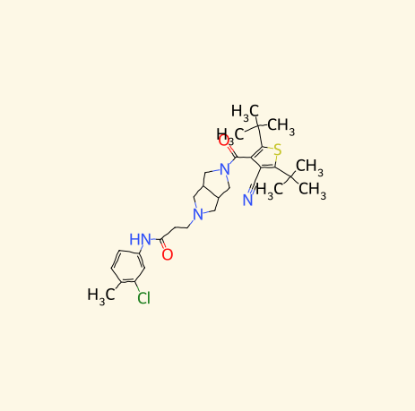 Cc1ccc(NC(=O)CCN2CC3CN(C(=O)c4c(C(C)(C)C)sc(C(C)(C)C)c4C#N)CC3C2)cc1Cl